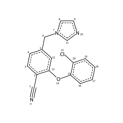 N#Cc1ccc(Cn2ccnc2)cc1Oc1ccccc1Cl